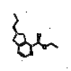 CCC[C@@H]1Cc2ccnc(C(=O)OCC)c2C1